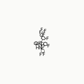 O=C(N[C@@H]1CCC(F)(F)C1)N[C@](Cc1ccccc1)(c1ccc(F)cc1)c1cc(F)cc(OC(F)(F)C(F)F)c1